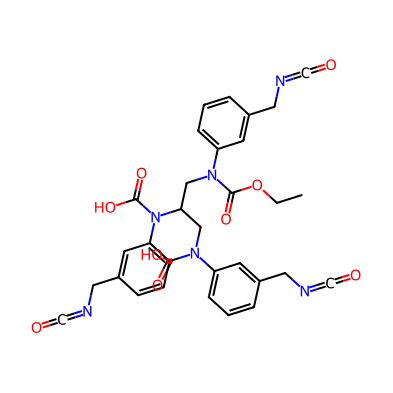 CCOC(=O)N(CC(CN(C(=O)O)c1cccc(CN=C=O)c1)N(C(=O)O)c1cccc(CN=C=O)c1)c1cccc(CN=C=O)c1